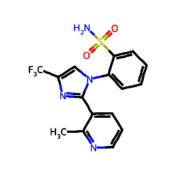 Cc1ncccc1-c1nc(C(F)(F)F)cn1-c1ccccc1S(N)(=O)=O